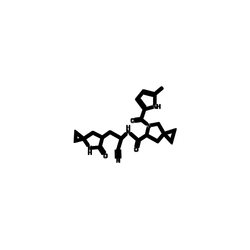 Cc1ccc(C(=O)N2CC3(CC3)CC2C(=O)NC(C#N)CC2CC3(CC3)NC2=O)[nH]1